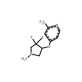 CN1CC(Oc2ccnc(C(F)(F)F)c2)C(F)(F)C1